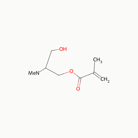 C=C(C)C(=O)OCC(CO)NC